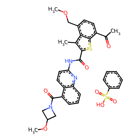 COCc1ccc(C(C)=O)c2sc(C(=O)Nc3ccc4c(C(=O)N5CC(OC)C5)cccc4n3)c(C)c12.O=S(=O)(O)c1ccccc1